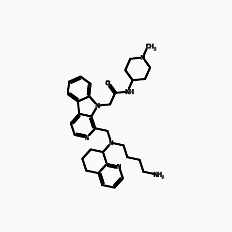 CN1CCC(NC(=O)Cn2c3ccccc3c3ccnc(CN(CCCCN)C4CCCc5cccnc54)c32)CC1